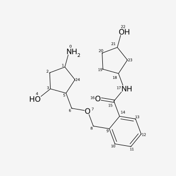 NC1CC(O)C(COCc2ccccc2C(=O)NC2CCC(O)C2)C1